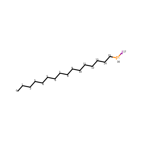 CCCCCCCCCCCCCCCC[P]I